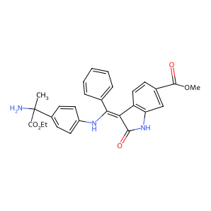 CCOC(=O)C(C)(N)c1ccc(N/C(=C2\C(=O)Nc3cc(C(=O)OC)ccc32)c2ccccc2)cc1